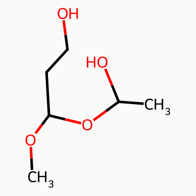 COC(CCO)OC(C)O